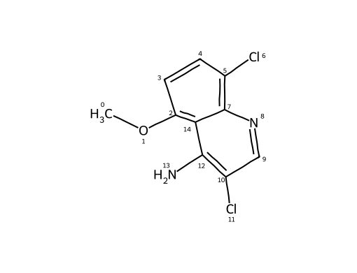 COc1ccc(Cl)c2ncc(Cl)c(N)c12